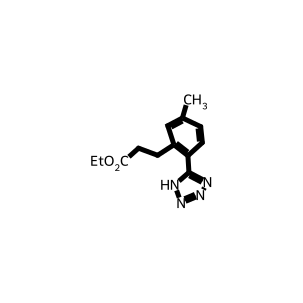 CCOC(=O)CCc1cc(C)ccc1-c1nnn[nH]1